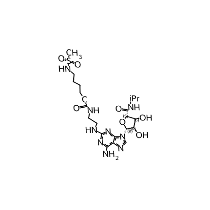 CC(C)NC(=O)[C@H]1O[C@@H](n2cnc3c(N)nc(NCCNC(=O)CCCCCNS(C)(=O)=O)nc32)[C@H](O)[C@@H]1O